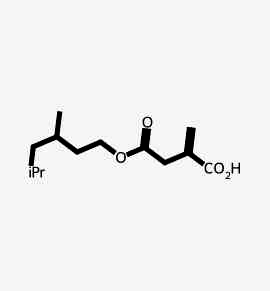 C=C(CC(=O)OCCC(C)CC(C)C)C(=O)O